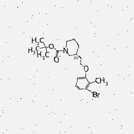 Cc1c(Br)cccc1OCC[C@@H]1CCCN(C(=O)OC(C)(C)C)C1